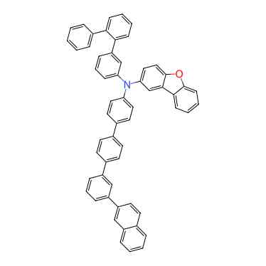 c1ccc(-c2ccccc2-c2cccc(N(c3ccc(-c4ccc(-c5cccc(-c6ccc7ccccc7c6)c5)cc4)cc3)c3ccc4oc5ccccc5c4c3)c2)cc1